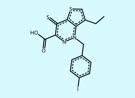 CCc1csc2c(=S)c(C(=O)O)nn(Cc3ccc(I)cc3)c12